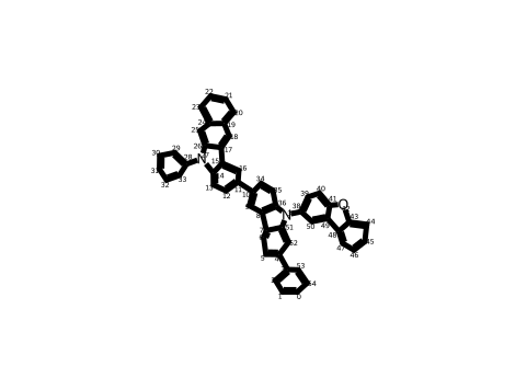 c1ccc(-c2ccc3c4cc(-c5ccc6c(c5)c5cc7ccccc7cc5n6-c5ccccc5)ccc4n(-c4ccc5oc6ccccc6c5c4)c3c2)cc1